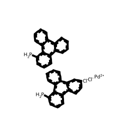 Pc1cccc2c3ccccc3c3ccccc3c12.Pc1cccc2c3ccccc3c3ccccc3c12.[Cl-].[Cl-].[Pd+2]